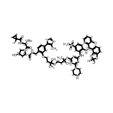 Cc1ncsc1-c1ccc(CNC(=O)[C@@H]2C[C@@H](O)CN2C(=O)[C@@H](NC(=O)C2(F)CC2)C(C)(C)C)c(OCCC(C)(C)OCCC(C)(C)Oc2nc(Nc3cc(S(C)(=O)=O)ccc3N[C@@H](c3cccc4c3OC(F)(F)O4)c3ncccc3Cl)nc(N3CCNCC3)n2)c1